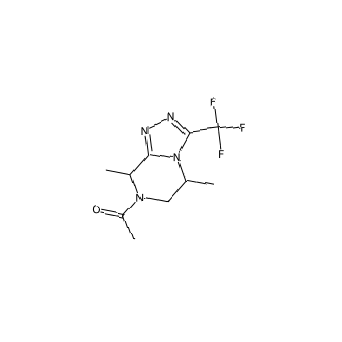 CC(=O)N1CC(C)n2c(nnc2C(F)(F)F)C1C